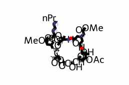 CCC/C=C/C=C/C(=O)OCC(CC(=O)OC)C[C@H]1C[C@H]([C@@H](C)O)OC(=O)C[C@H](O)C[C@@H]2C[C@H](OC(C)=O)C(C)(C)[C@](O)(C[C@@H]3C/C(=C/C(=O)OC)C[C@H](/C=C/C(C)(C)[C@H](O)O1)O3)O2